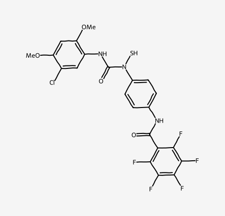 COc1cc(OC)c(NC(=O)N(S)c2ccc(NC(=O)c3c(F)c(F)c(F)c(F)c3F)cc2)cc1Cl